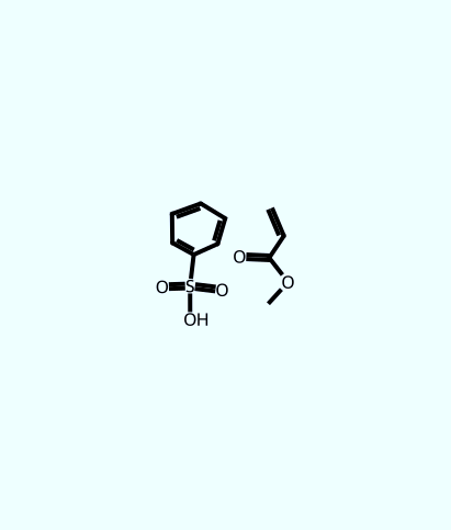 C=CC(=O)OC.O=S(=O)(O)c1ccccc1